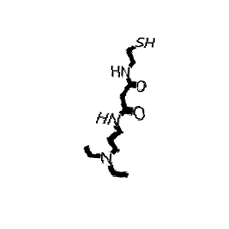 CCN(CC)CCCNC(=O)CC(=O)NCCS